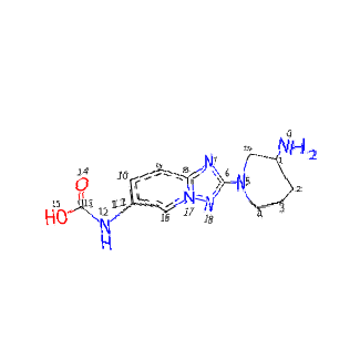 NC1CCCN(c2nc3ccc(NC(=O)O)cn3n2)C1